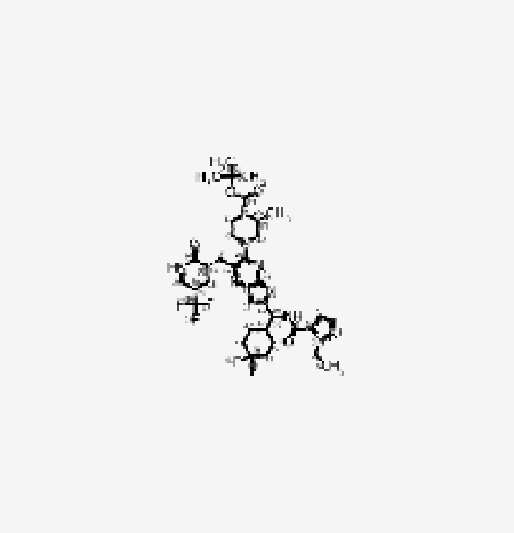 CCn1nccc1C(=O)N[C@H](c1cn2nc(C[C@H]3C[C@@H](C(F)(F)F)CNC3=O)c(N3CCN(C(=O)OC(C)(C)C)[C@@H](C)C3)nc2n1)C1CCC(F)(F)CC1